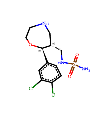 NS(=O)(=O)NC[C@H]1CNCCO[C@@H]1c1ccc(Cl)c(Cl)c1